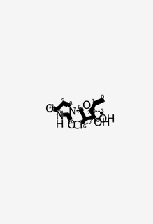 C=C[C@]1(CO)O[C@@H](n2ccc(=O)[nH]c2=O)C(Cl)[C@@H]1O